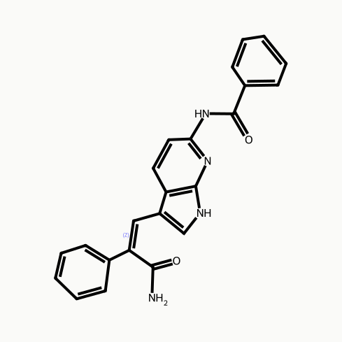 NC(=O)/C(=C\c1c[nH]c2nc(NC(=O)c3ccccc3)ccc12)c1ccccc1